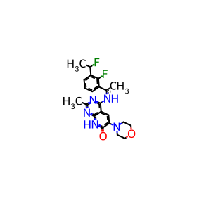 Cc1nc(N[C@H](C)c2cccc(C(C)F)c2F)c2cc(N3CCOCC3)c(=O)[nH]c2n1